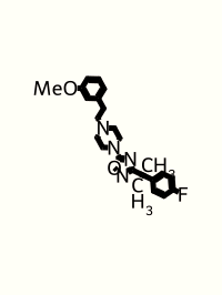 COc1cccc(CCN2CCN(c3nc(C(C)(C)c4ccc(F)cc4)no3)CC2)c1